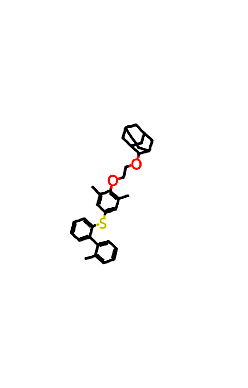 Cc1ccccc1-c1ccccc1Sc1cc(C)c(OCCOC2C3CC4CC(C3)CC2C4)c(C)c1